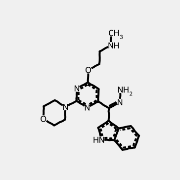 CNCCOc1cc(C(=NN)c2c[nH]c3ccccc23)nc(N2CCOCC2)n1